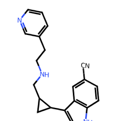 N#Cc1ccc2[nH]cc(C3CC3CNCCc3cccnc3)c2c1